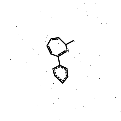 CC1C=CC=CC(c2ccccc2)=N1